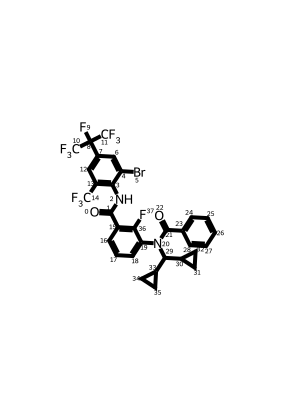 O=C(Nc1c(Br)cc(C(F)(C(F)(F)F)C(F)(F)F)cc1C(F)(F)F)c1cccc(N(C(=O)c2ccccc2)C(C2CC2)C2CC2)c1F